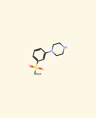 CCCCCS(=O)(=O)c1cccc(N2CCNCC2)c1